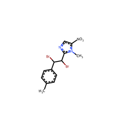 Cc1ccc(C(Br)C(Br)c2ncc([N+](=O)[O-])n2C)cc1